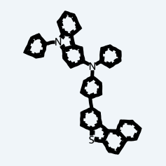 c1ccc(N(c2ccc(-c3ccc4sc5ccc6ccccc6c5c4c3)cc2)c2ccc3c(c2)c2ccccc2n3-c2ccccc2)cc1